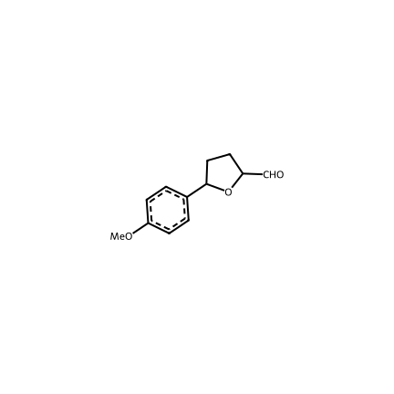 COc1ccc(C2CCC(C=O)O2)cc1